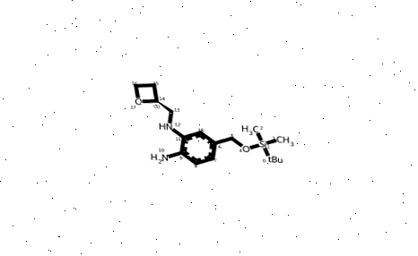 CC(C)(C)[Si](C)(C)OCc1ccc(N)c(NC[C@@H]2CCO2)c1